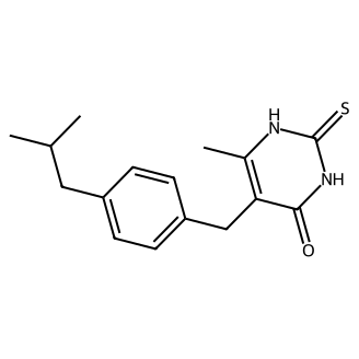 Cc1[nH]c(=S)[nH]c(=O)c1Cc1ccc(CC(C)C)cc1